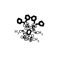 CCO[C@@H]1[C@H](OP(C)(C)=O)[C@@H](OP(C)(C)=O)[C@H](OCC)[C@@H](OP(=O)(OCc2ccccc2)OCc2ccccc2)[C@@H]1OP(=O)(OCc1ccccc1)OCc1ccccc1